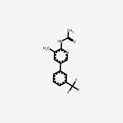 CC(=O)Nc1ncc(-c2cccc(C(F)(F)F)c2)cc1C